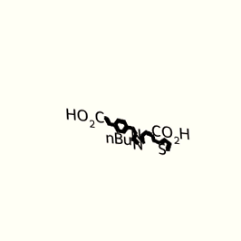 CCCCc1ncc(C=C(Cc2cccs2)C(=O)O)n1Cc1ccc(C=CC(=O)O)cc1